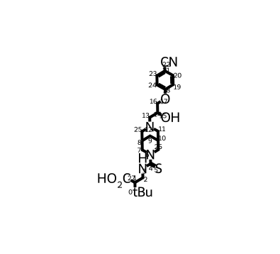 CC(C)(C)C(CNC(=S)N1CC2CC(CN(CC(O)COc3ccc(C#N)cc3)C2)C1)C(=O)O